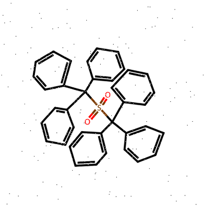 O=S(=O)(C(c1ccccc1)(c1ccccc1)c1ccccc1)C(c1ccccc1)(c1ccccc1)c1ccccc1